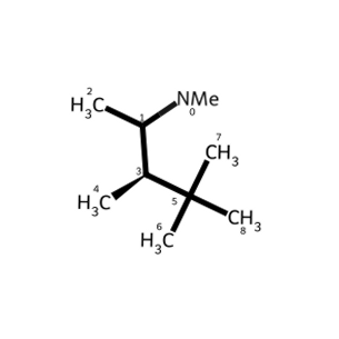 CNC(C)[C@H](C)C(C)(C)C